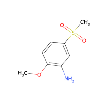 COc1ccc(S(C)(=O)=O)cc1N